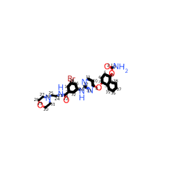 NC(=O)Oc1ccc(Oc2ccnc(Nc3cc(Br)cc(C(=O)NCCN4CCOCC4)c3)n2)c2ccccc12